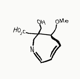 COC1C=CC=NC1(O)C(=O)O